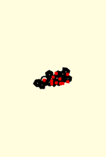 c1ccc(C2(c3ccccc3)c3ccccc3-c3ccc(N(c4ccccc4-c4cccc5c4oc4c6ccccc6ccc54)c4cccc5ccccc45)cc32)cc1